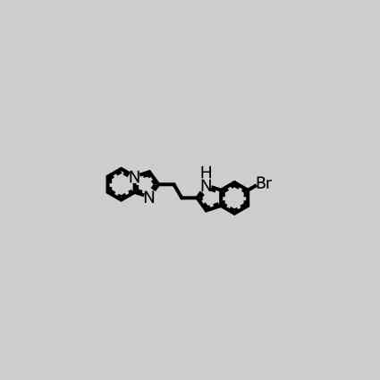 Brc1ccc2cc(CCc3cn4ccccc4n3)[nH]c2c1